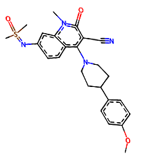 COc1ccc(C2CCN(c3c(C#N)c(=O)n(C)c4cc(N=S(C)(C)=O)ccc34)CC2)cc1